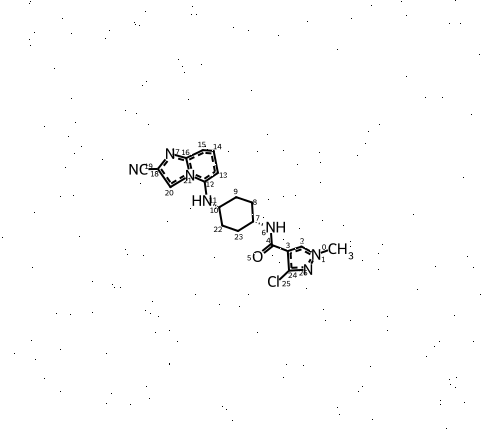 Cn1cc(C(=O)N[C@H]2CC[C@@H](Nc3cccc4nc(C#N)cn34)CC2)c(Cl)n1